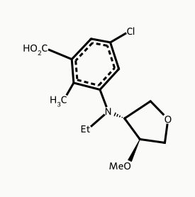 CCN(c1cc(Cl)cc(C(=O)O)c1C)[C@@H]1COC[C@H]1OC